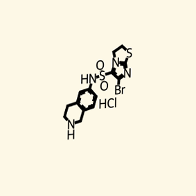 Cl.O=S(=O)(Nc1ccc2c(c1)CCNC2)c1c(Br)nc2n1CCS2